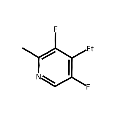 CCc1c(F)cnc(C)c1F